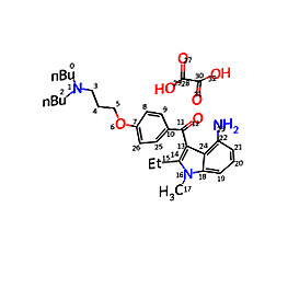 CCCCN(CCCC)CCCOc1ccc(C(=O)c2c(CC)n(C)c3cccc(N)c23)cc1.O=C(O)C(=O)O